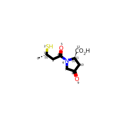 C[C@H](S)CC(=O)N1CC(=O)C[C@H]1C(=O)O